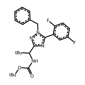 CC(C)(C)OC(=O)NC(c1nc(-c2cc(F)ccc2F)n(Cc2ccccc2)n1)C(C)(C)C